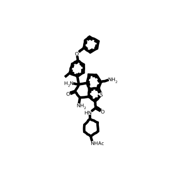 CC(=O)NC1CCC(NC(=O)c2sc3c(N)ccc4c3c2C(N)C(=O)C4(N)c2ccc(Oc3ccccc3)cc2C)CC1